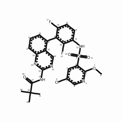 COc1ncc(Cl)cc1S(=O)(=O)Nc1ccc(F)c(-c2cccc3nc(NC(=O)C(C)(C)C)ncc23)c1F